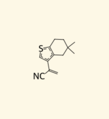 C=C(C#N)c1csc2c1CC(C)(C)CC2